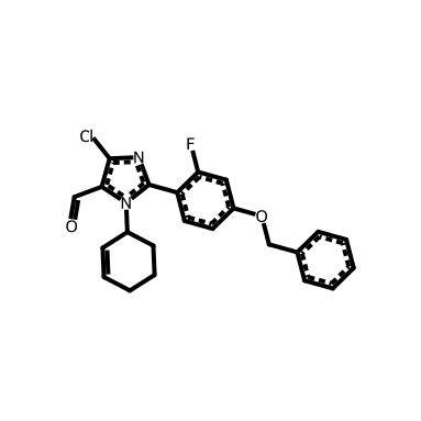 O=Cc1c(Cl)nc(-c2ccc(OCc3ccccc3)cc2F)n1C1C=CCCC1